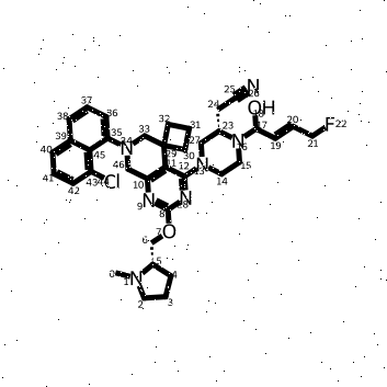 CN1CCC[C@H]1COc1nc2c(c(N3CCN(C(O)/C=C/CF)[C@@H](CC#N)C3)n1)C1(CCC1)CN(c1cccc3cccc(Cl)c13)C2